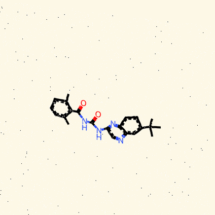 Cc1cccc(C)c1C(=O)NC(=O)Nc1cnc2cc(C(C)(C)C)ccc2n1